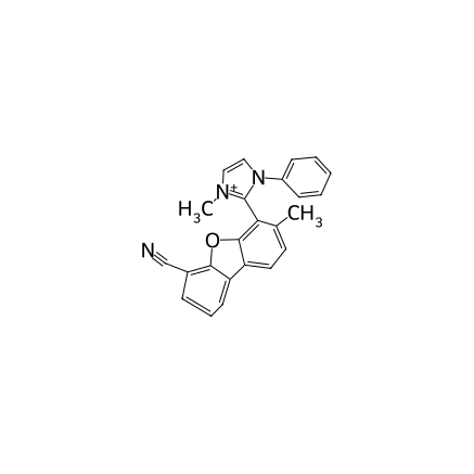 Cc1ccc2c(oc3c(C#N)cccc32)c1-c1n(-c2ccccc2)cc[n+]1C